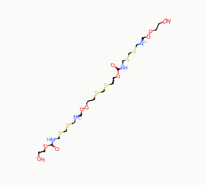 O=C(NCSCSC/N=C/OOCCSCSCCOC(=O)NCSCSC/N=C/OOCCO)OCCO